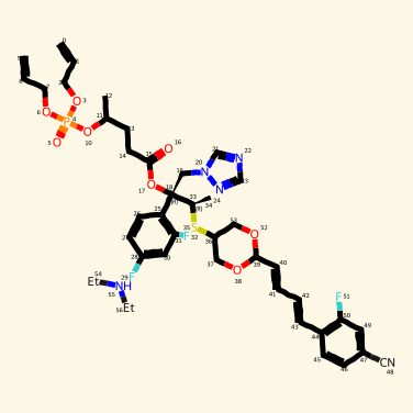 C=CCOP(=O)(OCC=C)OC(C)CCC(=O)O[C@@](Cn1cncn1)(c1ccc(F)cc1F)[C@@H](C)SC1COC(C=CC=Cc2ccc(C#N)cc2F)OC1.CCNCC